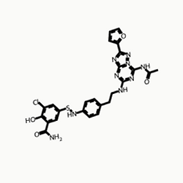 CC(=O)Nc1nc(NCCc2ccc(NSc3cc(Cl)c(O)c(C(N)=O)c3)cc2)nc2nc(-c3ccco3)nn12